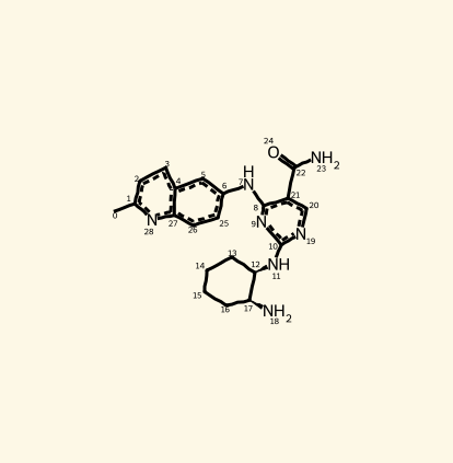 Cc1ccc2cc(Nc3nc(N[C@@H]4CCCC[C@@H]4N)ncc3C(N)=O)ccc2n1